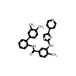 Cc1ccc(-c2ccccc2NC(=O)c2ccc(C)c(Nc3nc(-c4ccncc4)cs3)c2)cc1C